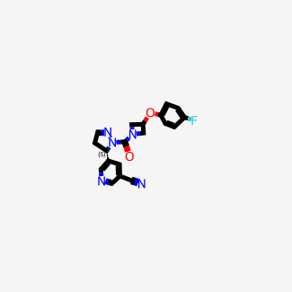 N#Cc1cncc([C@@H]2CC=NN2C(=O)N2CC(Oc3ccc(F)cc3)C2)c1